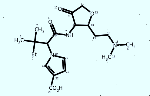 [CH2]CC(C)(C)C(C(=O)NC1C(=O)COC1CCN(C)C)n1ccc(C(=O)O)c1